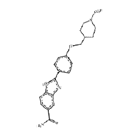 NC(=O)c1ccc2[nH]c(-c3ccc(OCC4CCN(C(=O)O)CC4)cc3)nc2c1